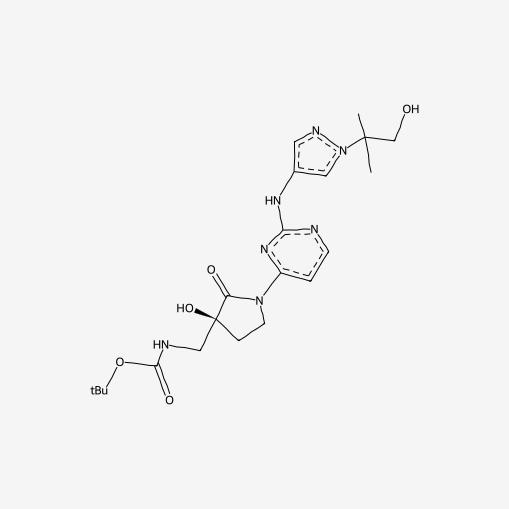 CC(C)(C)OC(=O)NC[C@@]1(O)CCN(c2ccnc(Nc3cnn(C(C)(C)CO)c3)n2)C1=O